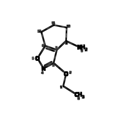 CCOc1noc2c1C(N)CCC2